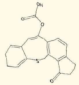 O=C(O)OC1=CC2=CCCC=C2Sc2c1ccc1c2C(=O)CC1